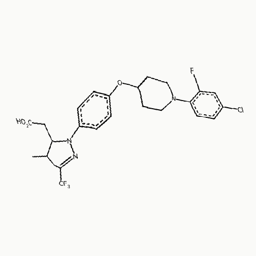 CC1C(C(F)(F)F)=NN(c2ccc(OC3CCN(c4ccc(Cl)cc4F)CC3)cc2)C1CC(=O)O